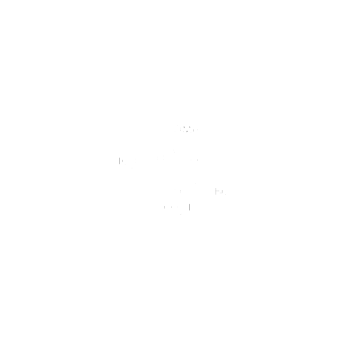 COC(=O)OC(=O)C(C)(C)C.O=C(O)CCC(=O)O